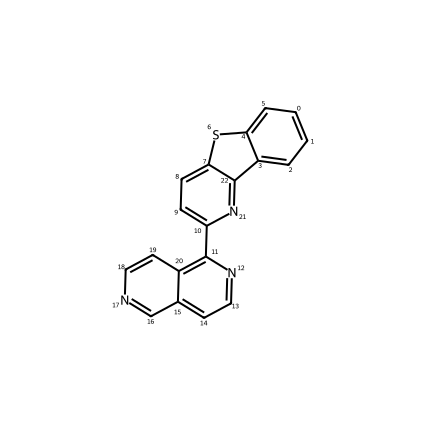 c1ccc2c(c1)sc1ccc(-c3nccc4cnccc34)nc12